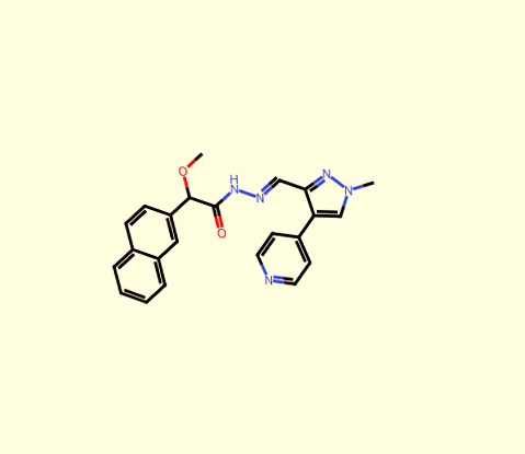 COC(C(=O)N/N=C/c1nn(C)cc1-c1ccncc1)c1ccc2ccccc2c1